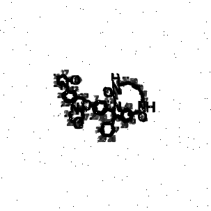 O=C1Cn2c(-c3ccc(OCc4cc(N5CCCC5=O)ccc4N4CCOCC4)cc3)c(C3CCCCC3)c3ccc(cc32)C(=O)NCCC=CCCN1